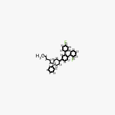 CCCCC[Si]1(c2ccccc2)CCC(c2ccc(-c3ccccc3F)c(-c3ccc(F)cc3)c2)CC1